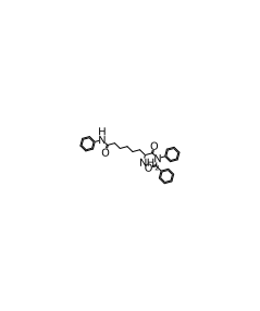 NC(CCCCCC(=O)Nc1ccccc1)C(=O)N(C(=O)c1ccccc1)c1ccccc1